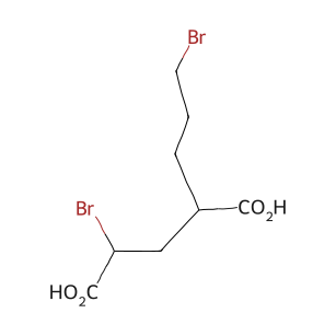 O=C(O)C(Br)CC(CCCBr)C(=O)O